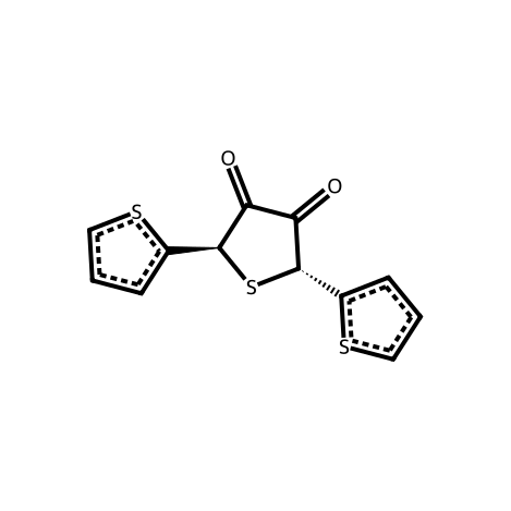 O=C1C(=O)[C@H](c2cccs2)S[C@H]1c1cccs1